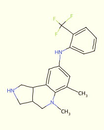 Cc1cc(Nc2ccccc2C(F)(F)F)cc2c1N(C)CC1CNCC21